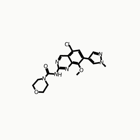 COc1c(-c2cnn(C)c2)cc(Cl)c2cnc(NC(=O)N3CCOCC3)nc12